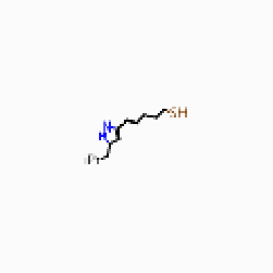 CC(C)CC1C=C(CCCCCS)N=N1